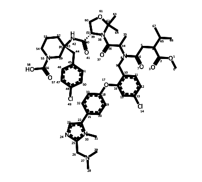 COC(=O)C(CC(=O)N(Cc1ccc(Cl)cc1Oc1ccc(-c2cnc(CN(C)C)n2C)cc1)C(C)C(=O)N1[C@H](C(=O)N[C@@]2(Cc3ccc(Cl)cc3)CCCN(C(=O)O)C2)COC1(C)C)C(C)C